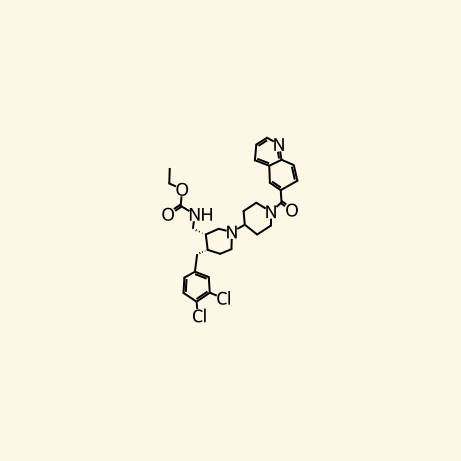 CCOC(=O)NC[C@@H]1CN(C2CCN(C(=O)c3ccc4ncccc4c3)CC2)CC[C@@H]1Cc1ccc(Cl)c(Cl)c1